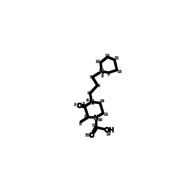 CC1C(=O)N(CCCN2CCCCC2)CCN1C(=O)O